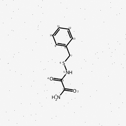 NC(=O)C(=O)NSCc1ccccc1